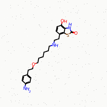 Nc1ccc(CCOCCCCCCNCCc2ccc(O)c3[nH]c(=O)sc23)cc1